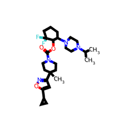 CC(C)N1CCN(C2CCCC(F)(F)C2OC(=O)N2CCC(C)(c3cc(C4CC4)on3)CC2)CC1